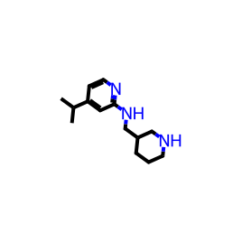 CC(C)c1ccnc(NCC2CCCNC2)c1